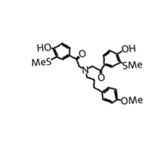 COc1ccc(CCCN(CC(=O)c2ccc(O)c(SC)c2)CC(=O)c2ccc(O)c(SC)c2)cc1